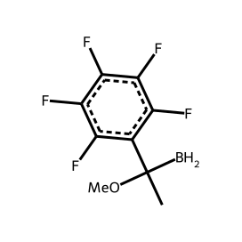 BC(C)(OC)c1c(F)c(F)c(F)c(F)c1F